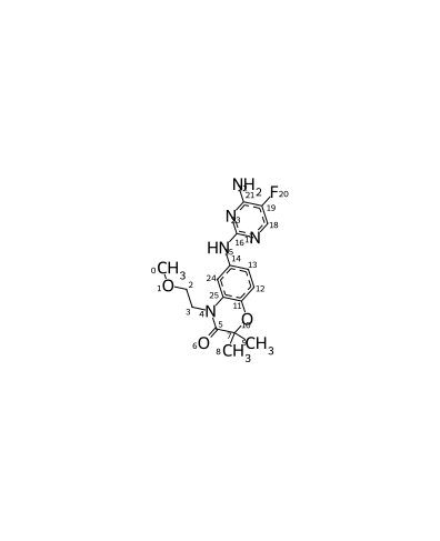 COCCN1C(=O)C(C)(C)Oc2ccc(Nc3ncc(F)c(N)n3)cc21